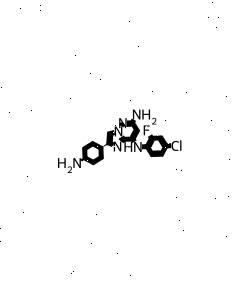 Nc1cc(Nc2ccc(Cl)cc2F)c2nc([C@H]3CC[C@H](N)CC3)cn2n1